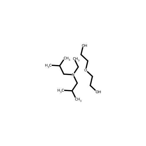 CCN(CC(C)C)CC(C)C.OCCOCCO